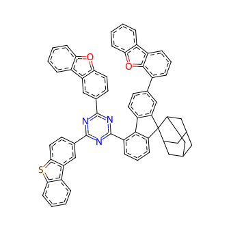 c1cc(-c2nc(-c3ccc4oc5ccccc5c4c3)nc(-c3ccc4sc5ccccc5c4c3)n2)c2c(c1)C1(c3cc(-c4cccc5c4oc4ccccc45)ccc3-2)C2CC3CC(C2)CC1C3